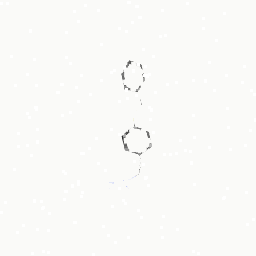 NCc1ccc(SCc2ccccc2)cc1